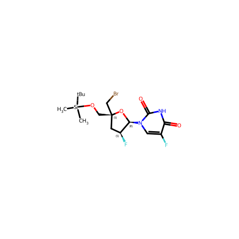 CC(C)(C)[Si](C)(C)OC[C@]1(CBr)C[C@H](F)[C@H](n2cc(F)c(=O)[nH]c2=O)O1